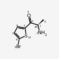 C[C@@H](N)C(=O)c1ccc(Br)s1